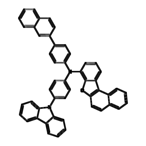 c1ccc2cc(-c3ccc(N(c4ccc(-n5c6ccccc6c6ccccc65)cc4)c4cccc5c4oc4ccc6ccccc6c45)cc3)ccc2c1